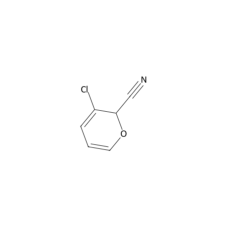 N#CC1OC=CC=C1Cl